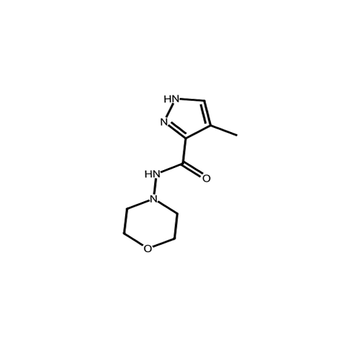 Cc1c[nH]nc1C(=O)NN1CCOCC1